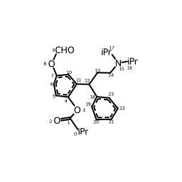 CC(C)C(=O)Oc1ccc(OC=O)cc1C(CCN(C(C)C)C(C)C)c1ccccc1